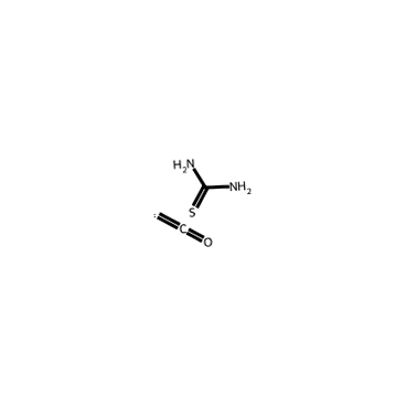 NC(N)=S.[C]=C=O